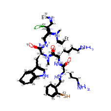 CC/C=C\N(C)/C(CNC(=O)[C@H](Cc1c[nH]c2ccccc12)N(C)C(=O)[C@H](CCCCN)NC(=O)[C@H](CCCN)NCc1ccccc1S)=C(Cl)\C=N/CC